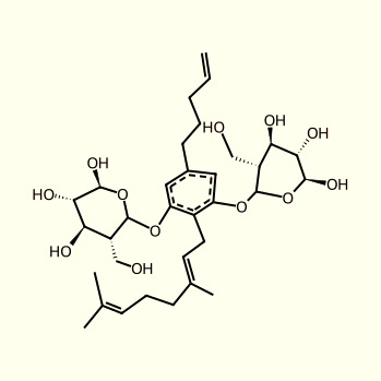 C=CCCCc1cc(OC2O[C@H](O)[C@@H](O)[C@H](O)[C@H]2CO)c(C/C=C(\C)CCC=C(C)C)c(OC2O[C@H](O)[C@@H](O)[C@H](O)[C@H]2CO)c1